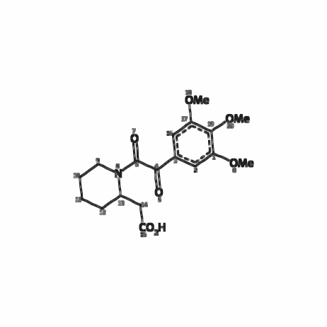 COc1cc(C(=O)C(=O)N2CCCCC2CC(=O)O)cc(OC)c1OC